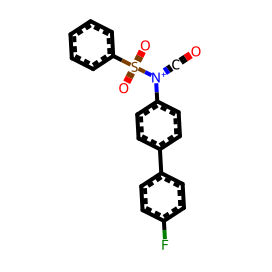 O=C=[N+](c1ccc(-c2ccc(F)cc2)cc1)S(=O)(=O)c1ccccc1